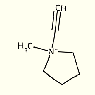 C#C[N+]1(C)CCCC1